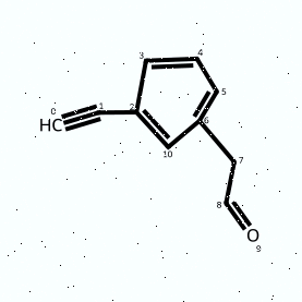 C#Cc1cccc(CC=O)c1